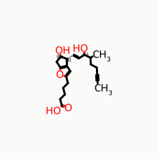 CC#CCCC(C)[C@H](O)C=C[C@@H]1c2cc(CCCCC(=O)O)oc2C[C@H]1O